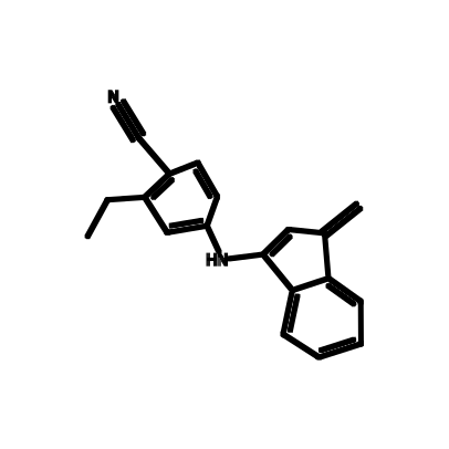 C=C1C=C(Nc2ccc(C#N)c(CC)c2)c2ccccc21